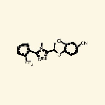 C[C@@H](Oc1ccc(C#N)cc1Cl)c1nnc(-c2ccccc2C(F)(F)F)n1C